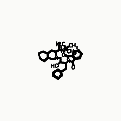 CC(C)(C)NC(=O)C1CC2CCCCC2CN1CC(O)C(Cc1ccccc1)N1C(=O)c2ccccc2C1=O